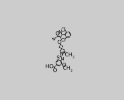 COc1cc(C(=O)O)cc2sc(N3CC4(CC(OCc5c(-c6c(Cl)cccc6Cl)noc5C5CC5)C4)C[C@H]3C)nc12